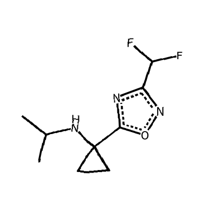 CC(C)NC1(c2nc(C(F)F)no2)CC1